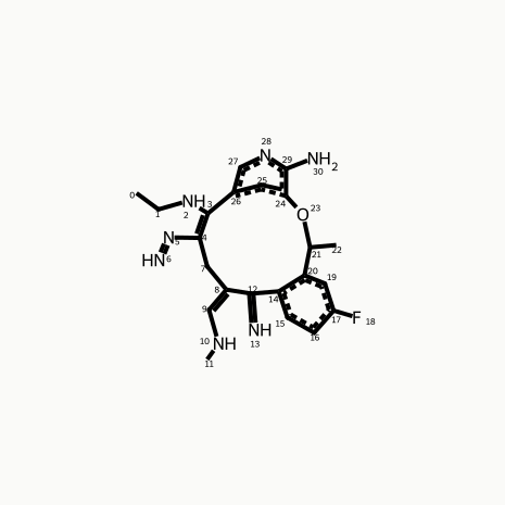 CCN/C1=C(\N=N)C/C(=C/NC)C(=N)c2ccc(F)cc2C(C)Oc2cc1cnc2N